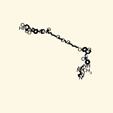 Cn1c(CNc2cccc(C(=O)/N=C/C3CCOc4ccc(OCCCCCCOCCOCCOCCCCCC(=O)N5CCN(c6ccc7c(c6)CN(C6CCC(=O)NC6=O)C7=O)CC5)cc43)c2)nnc1-c1ccncn1